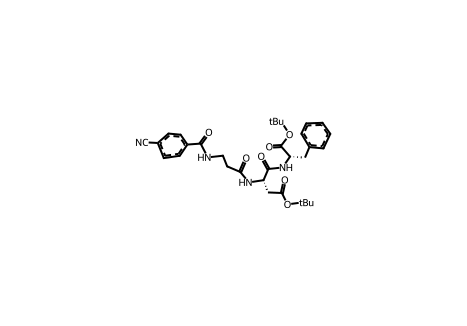 CC(C)(C)OC(=O)C[C@H](NC(=O)CCNC(=O)c1ccc(C#N)cc1)C(=O)N[C@@H](Cc1ccccc1)C(=O)OC(C)(C)C